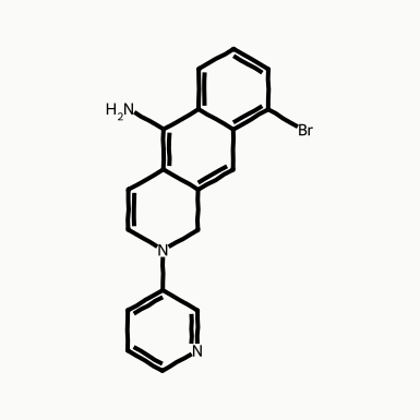 Nc1c2c(cc3c(Br)cccc13)CN(c1cccnc1)C=C2